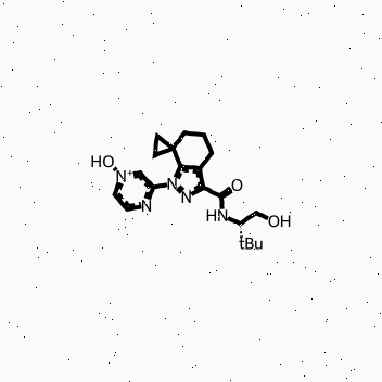 CC(C)(C)[C@@H](CO)NC(=O)c1nn(-c2c[n+](O)ccn2)c2c1CCCC21CC1